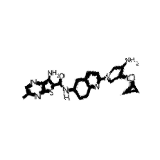 Cc1cnc2c(N)c(C(=O)NC3CCc4nc(N5CC(N)C(OC6CC6)C5)ccc4C3)sc2n1